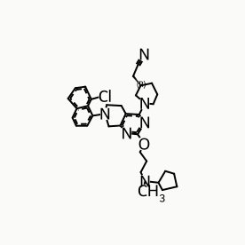 CN(CCCOc1nc2c(c(N3CCC[C@H](CC#N)C3)n1)CCN(c1cccc3cccc(Cl)c13)C2)C1CCCC1